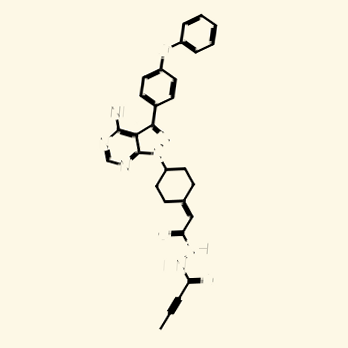 CC#CC(=O)NNC(=O)C=C1CCC(n2nc(-c3ccc(Oc4ccccc4)cc3)c3c(N)ncnc32)CC1